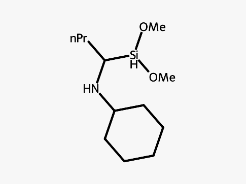 CCCC(NC1CCCCC1)[SiH](OC)OC